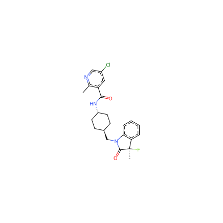 Cc1ncc(Cl)cc1C(=O)N[C@H]1CC[C@H](CN2C(=O)[C@](C)(F)c3ccccc32)CC1